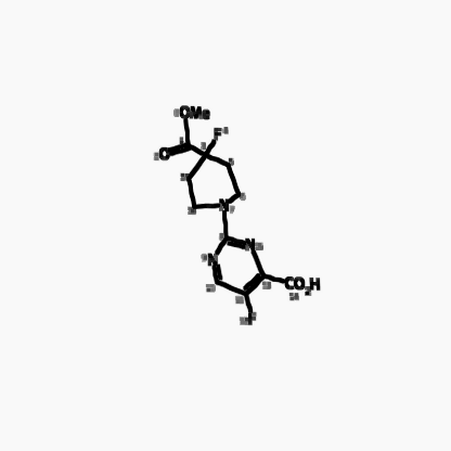 COC(=O)C1(F)CCN(c2ncc(F)c(C(=O)O)n2)CC1